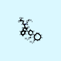 CC[C@@H]1C[C@H](n2c(=O)c(/C(CCC(=O)O)=N/OC)nc3ccccc32)CCN1[C@@H]1CCCCCC[C@@H](C)C1